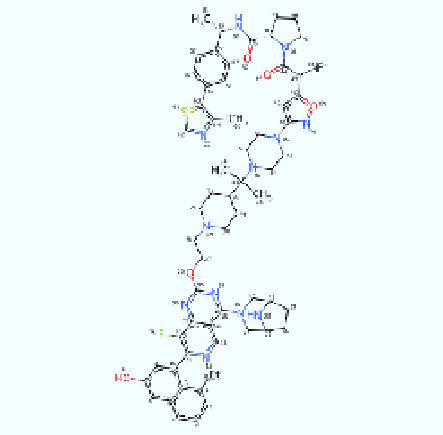 CCc1cccc2cc(O)cc(-c3ncc4c(N5CC6CCC(C5)N6)nc(OCCN5CCC(C(C)(C)N6CCN(c7cc(C(C(=O)N8CCC[C@H]8C(=O)N[C@@H](C)c8ccc(-c9scnc9C)cc8)C(C)C)on7)CC6)CC5)nc4c3F)c12